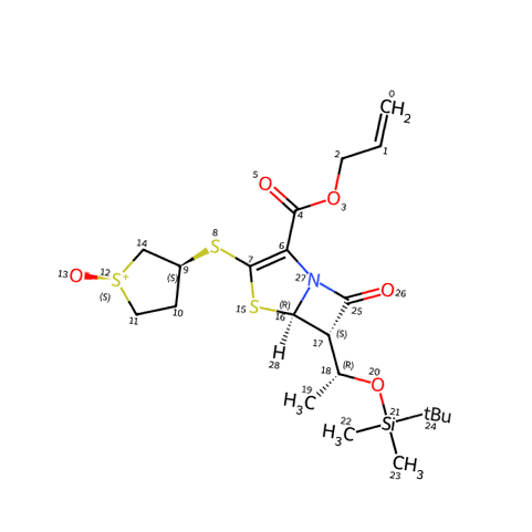 C=CCOC(=O)C1=C(S[C@H]2CC[S@@+]([O-])C2)S[C@@H]2[C@@H]([C@@H](C)O[Si](C)(C)C(C)(C)C)C(=O)N12